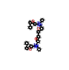 c1ccc(-c2nc(-c3ccc4c(c3)oc3cc(-c5ccc6oc7c(-c8nc(-c9ccccc9)nc(-c9ccc%10c(c9)oc9cccc(-c%11ccccc%11)c9%10)n8)cccc7c6c5)ccc34)nc(-c3ccc4c(c3)oc3cccc(-c5ccccc5)c34)n2)cc1